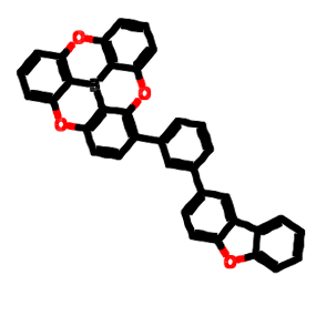 c1cc(-c2ccc3oc4ccccc4c3c2)cc(-c2ccc3c4c2Oc2cccc5c2B4c2c(cccc2O3)O5)c1